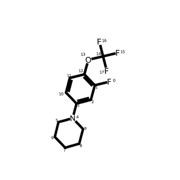 Fc1cc(N2CCCCC2)ccc1OC(F)(F)F